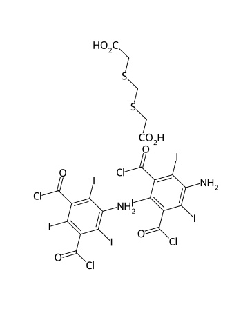 Nc1c(I)c(C(=O)Cl)c(I)c(C(=O)Cl)c1I.Nc1c(I)c(C(=O)Cl)c(I)c(C(=O)Cl)c1I.O=C(O)CSCSCC(=O)O